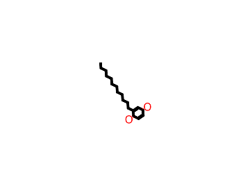 CCCCCCCCCCCCC1=CC(=O)C=CC1=O